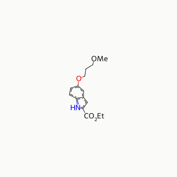 CCOC(=O)c1cc2cc(OCCCOC)ccc2[nH]1